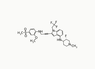 COc1cc(S(C)(=O)=O)ccc1NCC#Cc1cc2c(NC3CCN(C)C[C@H]3F)cccc2n1CC(F)(F)F